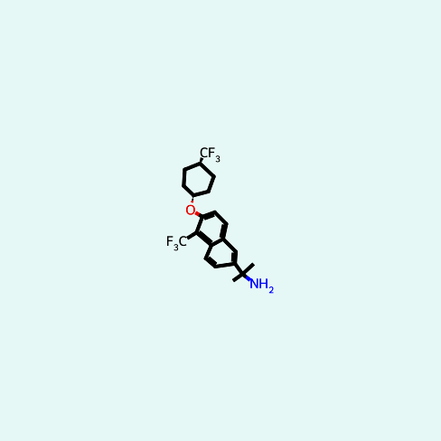 CC(C)(N)c1ccc2c(C(F)(F)F)c(O[C@H]3CC[C@H](C(F)(F)F)CC3)ccc2c1